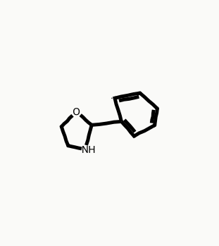 [c]1ccccc1C1NCCO1